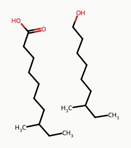 CCC(C)CCCCCCC(=O)O.CCC(C)CCCCCCO